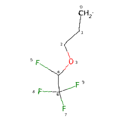 [CH2]CCOC(F)C(F)(F)F